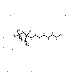 CCCCCCCCC1(C)SC(C)(C)OC1=O